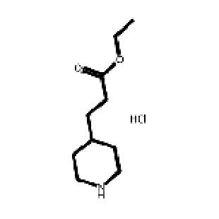 CCOC(=O)CCC1CCNCC1.Cl